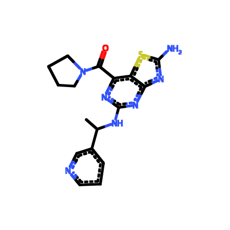 CC(Nc1nc(C(=O)N2CCCC2)c2sc(N)nc2n1)c1cccnc1